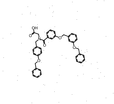 O=C(O)CN(Cc1ccc(OCc2ccccc2)cc1)C(=O)c1cccc(OCc2cccc(OCc3ccccc3)c2)c1